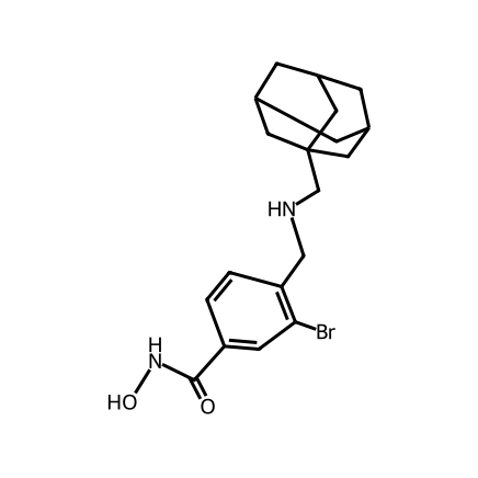 O=C(NO)c1ccc(CNCC23CC4CC(CC(C4)C2)C3)c(Br)c1